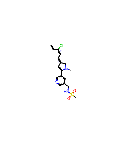 C=C/C(Cl)=C\C=C1\C=C(c2cncc(CNS(C)(=O)=O)c2)N(C)C1